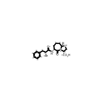 O=C(N[C@@H]1CCC[C@H]2OC[C@H](C(=O)O)N2C1=O)[C@H](Br)Cc1ccccc1